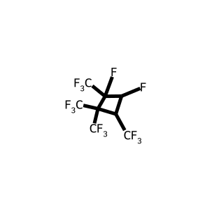 FC1C(C(F)(F)F)C(C(F)(F)F)(C(F)(F)F)C1(F)C(F)(F)F